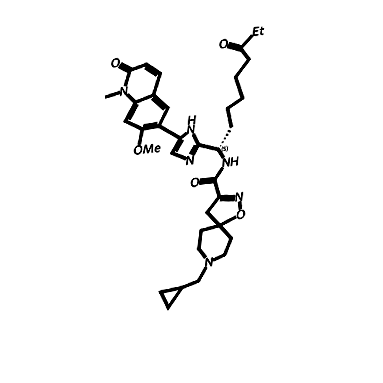 CCC(=O)CCCCC[C@H](NC(=O)C1=NOC2(CCN(CC3CC3)CC2)C1)c1ncc(-c2cc3ccc(=O)n(C)c3cc2OC)[nH]1